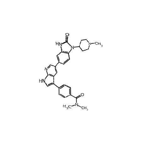 CN1CCC(n2c(=O)[nH]c3cc(-c4cnc5[nH]cc(-c6ccc(C(=O)N(C)C)cc6)c5c4)ccc32)CC1